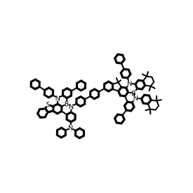 CC1(C)CCC(C)(C)c2cc(N3B4c5cc6c(cc5N(c5ccc(-c7ccccc7)cc5)c5c4c(cc4c5C(C)(C)c5ccc(-c7ccc(-c8ccc(N9B%10c%11cc(-c%12ccccc%12)ccc%11N(c%11ccc(-c%12ccccc%12)cc%11)c%11c%10c(cc%10c%11sc%11ccccc%11%10)-c%10cc(N(c%11ccccc%11)c%11ccccc%11)ccc%109)cc8)cc7)cc5-4)-c4cc(-c5ccccc5)ccc43)C(C)(C)CCC6(C)C)ccc21